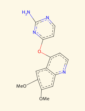 COc1cc2nccc(Oc3ccnc(N)n3)c2cc1OC